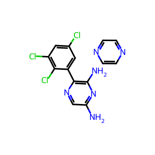 Nc1cnc(-c2cc(Cl)cc(Cl)c2Cl)c(N)n1.c1cnccn1